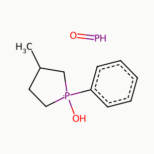 CC1CC[P](O)(c2ccccc2)C1.O=P